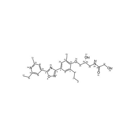 CCCc1cc(-c2noc(-c3cc(C)nc(CC)c3)n2)cc(C)c1OC[C@H](O)CNC(=O)CO